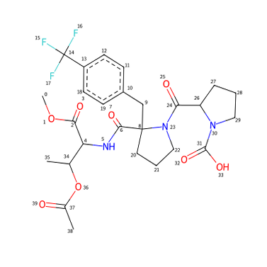 COC(=O)C(NC(=O)C1(Cc2ccc(C(F)(F)F)cc2)CCCN1C(=O)C1CCCN1C(=O)O)C(C)OC(C)=O